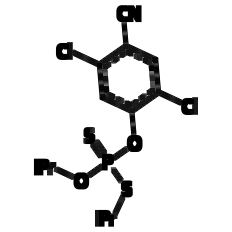 CC(C)OP(=S)(Oc1cc(Cl)c(C#N)cc1Cl)SC(C)C